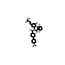 [2H][C@H](c1ccc(-c2ccc(N(C)C)cc2)cc1)N(C(=O)[C@H]1C[C@H]2CC[C@@H]1C2)c1cc(F)cc(/C=C/C(=O)O)c1